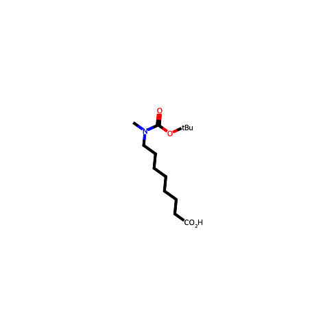 CN(CCCCCCCC(=O)O)C(=O)OC(C)(C)C